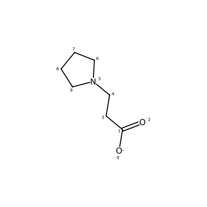 [O]C(=O)CCN1CCCC1